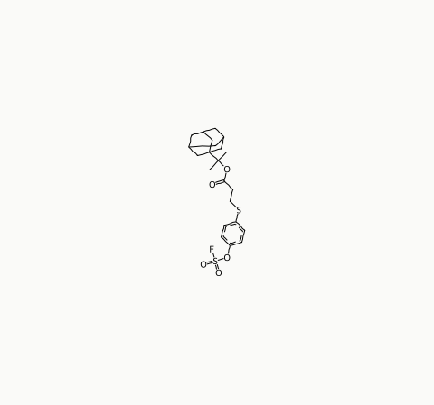 CC(C)(OC(=O)CCSc1ccc(OS(=O)(=O)F)cc1)C12CC3CC(CC(C3)C1)C2